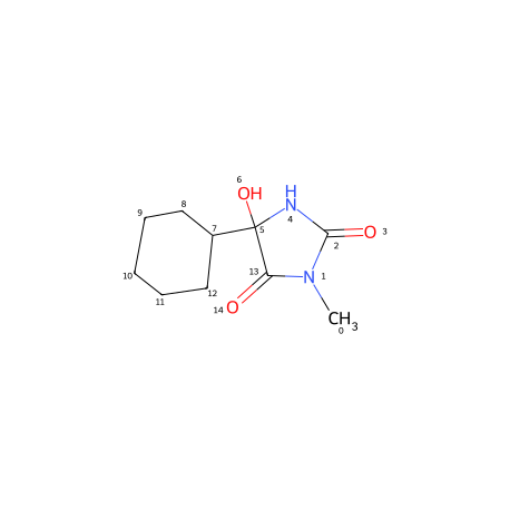 CN1C(=O)NC(O)(C2CCCCC2)C1=O